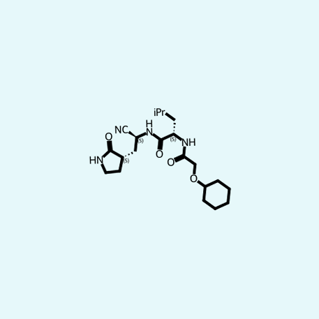 CC(C)C[C@H](NC(=O)COC1CCCCC1)C(=O)N[C@H](C#N)C[C@@H]1CCNC1=O